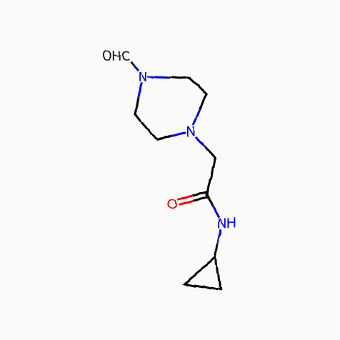 O=CN1CCN(CC(=O)NC2CC2)CC1